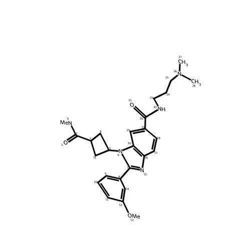 CNC(=O)C1CC(n2c(-c3cccc(OC)c3)nc3ccc(C(=O)NCCCN(C)C)cc32)C1